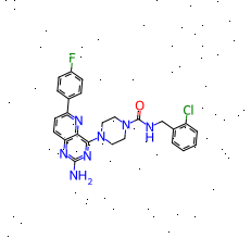 Nc1nc(N2CCN(C(=O)NCc3ccccc3Cl)CC2)c2nc(-c3ccc(F)cc3)ccc2n1